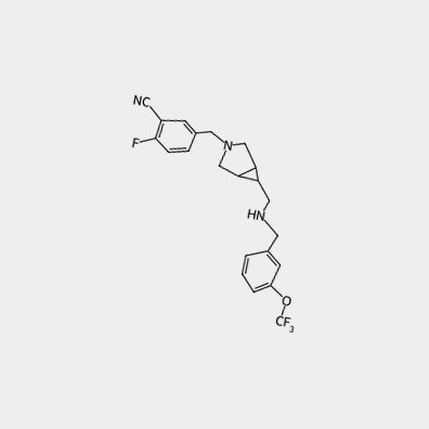 N#Cc1cc(CN2CC3C(CNCc4cccc(OC(F)(F)F)c4)C3C2)ccc1F